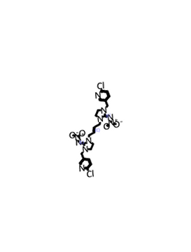 O=[N+]([O-])/N=C1\N(C/C=C/CN2CCN(Cc3ccc(Cl)nc3)/C2=N/[N+](=O)[O-])CCN1Cc1ccc(Cl)nc1